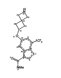 CNC(=O)c1csc2c(C(F)(F)F)cc(OC3CC4(CNC4)C3)nc12